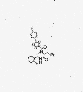 CC(C)C[C@H]1C(=O)N[C@@H](c2ccccc2F)CN1C(=O)c1noc(-c2ccc(F)cc2)n1